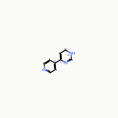 C1=NC(c2ccncc2)=CCN1